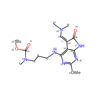 COc1nc(NCCCN(C)C(=O)OC(C)(C)C)c2c(n1)NC(=O)/C2=C\N(C)C